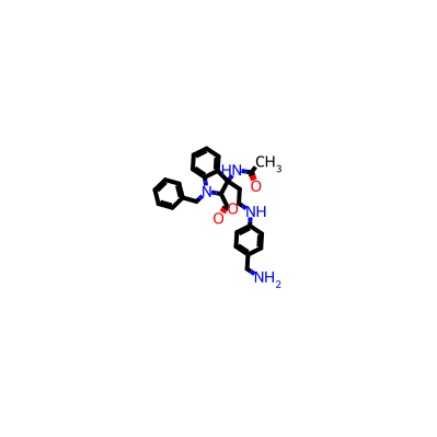 CC(=O)NC1(CC(=O)Nc2ccc(CN)cc2)c2ccccc2N(Cc2ccccc2)C1C=O